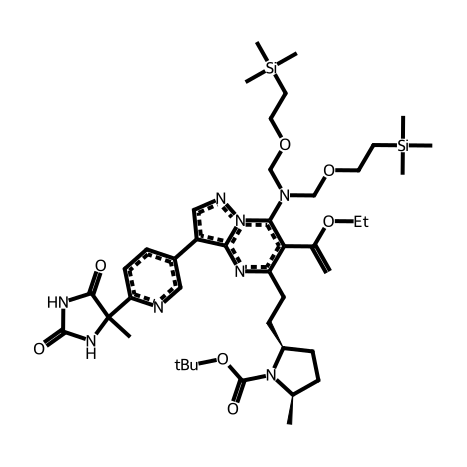 C=C(OCC)c1c(CC[C@H]2CC[C@@H](C)N2C(=O)OC(C)(C)C)nc2c(-c3ccc(C4(C)NC(=O)NC4=O)nc3)cnn2c1N(COCC[Si](C)(C)C)COCC[Si](C)(C)C